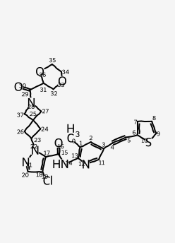 Cc1cc(C#Cc2cccs2)cnc1NC(=O)c1c(Cl)cnn1C1CC2(C1)CN(C(=O)C1COCCO1)C2